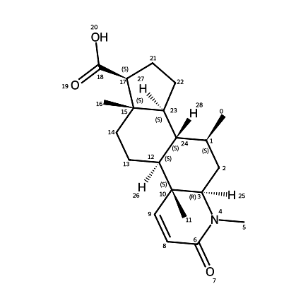 C[C@H]1C[C@H]2N(C)C(=O)C=C[C@]2(C)[C@H]2CC[C@]3(C)[C@@H](C(=O)O)CC[C@H]3[C@H]12